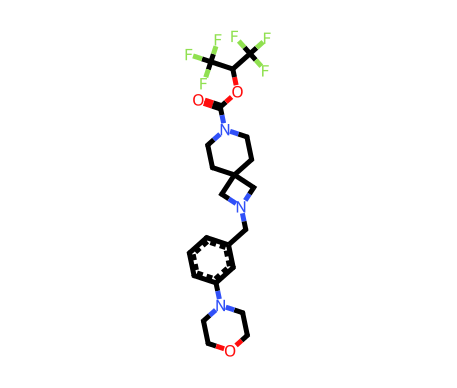 O=C(OC(C(F)(F)F)C(F)(F)F)N1CCC2(CC1)CN(Cc1cccc(N3CCOCC3)c1)C2